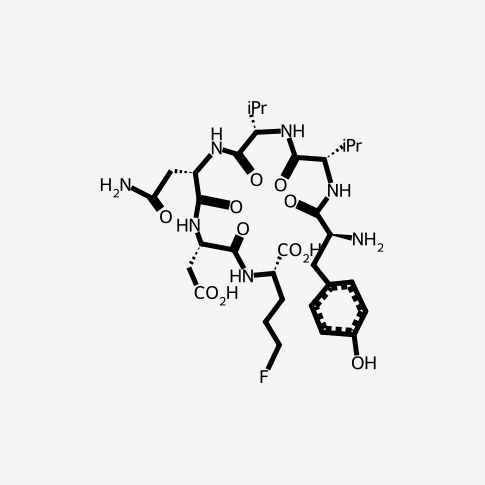 CC(C)[C@H](NC(=O)[C@@H](NC(=O)[C@@H](N)Cc1ccc(O)cc1)C(C)C)C(=O)N[C@@H](CC(N)=O)C(=O)N[C@@H](CC(=O)O)C(=O)N[C@@H](CCCF)C(=O)O